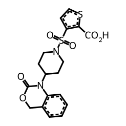 O=C(O)c1sccc1S(=O)(=O)N1CCC(N2C(=O)OCc3ccccc32)CC1